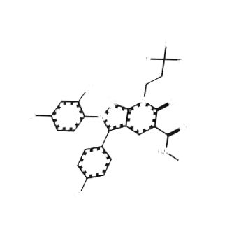 CNC(=O)c1cc2c(-c3ccc(Cl)cc3)n(-c3ccc(Cl)cc3Cl)nc2n(CCC(F)(F)F)c1=O